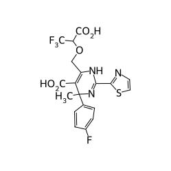 CC1(c2ccc(F)cc2)N=C(c2nccs2)NC(COC(C(=O)O)C(F)(F)F)=C1C(=O)O